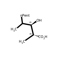 CCCCCC(C)[C@@H](O)[C@@H](C)C(=O)O